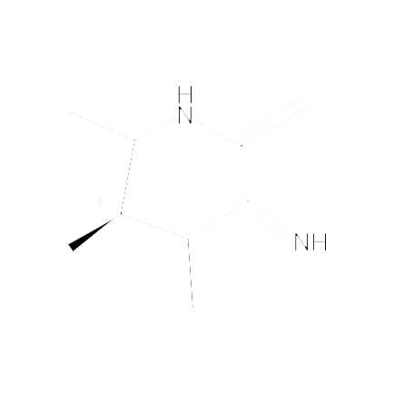 C=CNC(C)[C@H](C)C(C)C=N